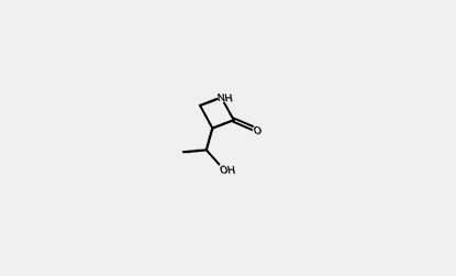 CC(O)C1CNC1=O